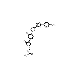 CC(=O)NC[C@H]1CN(c2ccc(N3CCC(n4nnc(-c5ccc(C)cc5)n4)C3)c(F)c2)C(=O)O1